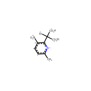 CCOC(=O)C(CC)(C(=O)O)c1nc(C)ccc1[N+](=O)[O-]